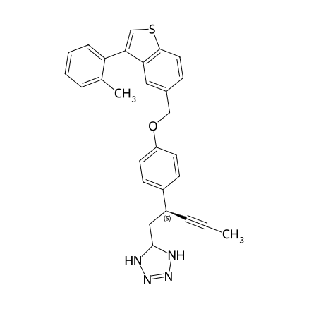 CC#C[C@@H](CC1NN=NN1)c1ccc(OCc2ccc3scc(-c4ccccc4C)c3c2)cc1